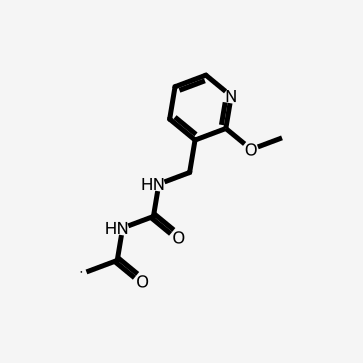 [CH2]C(=O)NC(=O)NCc1cccnc1OC